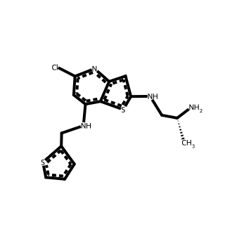 C[C@@H](N)CNc1cc2nc(Cl)cc(NCc3cccs3)c2s1